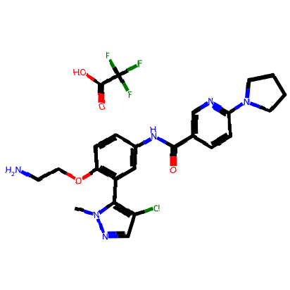 Cn1ncc(Cl)c1-c1cc(NC(=O)c2ccc(N3CCCC3)nc2)ccc1OCCN.O=C(O)C(F)(F)F